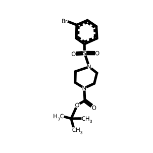 CC(C)(C)OC(=O)N1CCN(S(=O)(=O)c2cccc(Br)c2)CC1